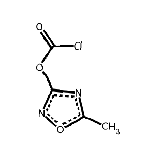 Cc1nc(OC(=O)Cl)no1